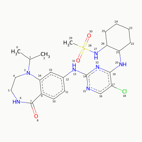 CC(C)N1CCNC(=O)c2ccc(Nc3ncc(Cl)c(NC4CCCCC4NS(C)(=O)=O)n3)cc21